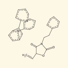 C=CC1OC(=O)N(CCc2ccccc2)C1=O.c1ccc(-c2cc3ccc2n3-c2ccccc2)cc1